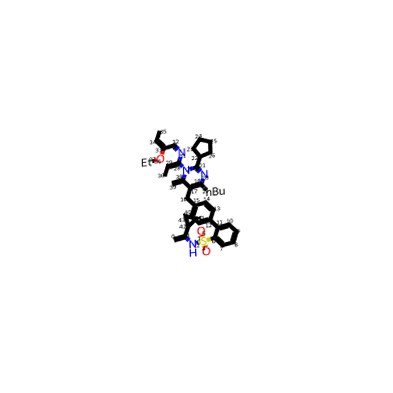 C=C(NS(=O)(=O)c1ccccc1-c1ccc(CC2=C(CCCC)N=C(C3CCCC3)N(C(=CC)/N=C\C(=C/C)OCC)C2=C)cc1)C1CC1